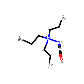 CC(C)CC[N+](CCC(C)C)(CCC(C)C)N=C=O